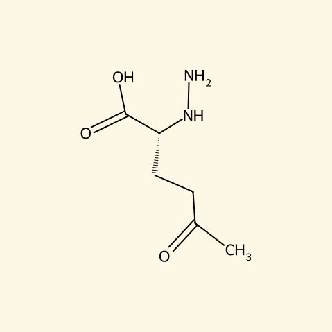 CC(=O)CC[C@@H](NN)C(=O)O